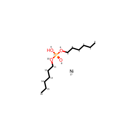 CCCCCCOP(=O)(O)OCCCCCC.[Ni]